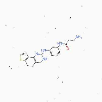 NCCC(=O)Nc1cccc(NC2=NC3=C(CCc4sccc43)CN2)c1